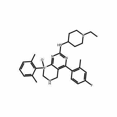 CCN1CCC(Nc2nc(-c3ccc(F)cc3C)c3c(n2)[N+]([O-])(c2c(C)cccc2C)CNC3)CC1